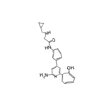 Nc1cc(-c2cccc(NC(=O)CNCC3CC3)c2)cc(-c2ccccc2O)n1